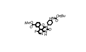 COC(=O)c1cccc(-c2c(F)cnc3[nH]c(=O)n([C@H]4CC[C@@H](NC(=O)OC(C)(C)C)CC4)c(=O)c23)c1